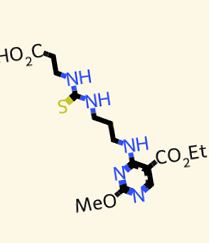 CCOC(=O)c1cnc(OC)nc1NCCCNC(=S)NCCC(=O)O